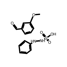 COc1cccc(C=O)c1.O=S(=O)(O)NNc1ccccc1